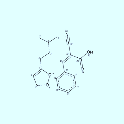 CC(C)CCC1=CCOO1.N#CC(=Cc1ccccc1)C(=O)O